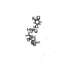 C=C(CCNC(=O)COc1ccc(Cl)c(F)c1)NC(=O)c1cc(C)on1